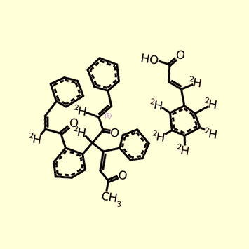 [2H]C(=CC(=O)O)c1c([2H])c([2H])c([2H])c([2H])c1[2H].[2H]C(=Cc1ccccc1)C(=O)c1ccccc1C([2H])(C(=O)/C([2H])=C/c1ccccc1)C(=CC(C)=O)c1ccccc1